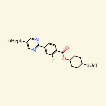 CCCCCCCCC1CCC(OC(=O)c2ccc(-c3ncc(CCCCCCC)cn3)cc2F)CC1